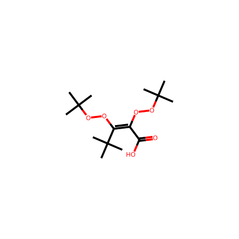 CC(C)(C)OOC(C(=O)O)=C(OOC(C)(C)C)C(C)(C)C